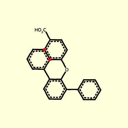 O=C(O)c1ccc(Oc2c(-c3ccccc3)cccc2-c2ccccc2)cc1